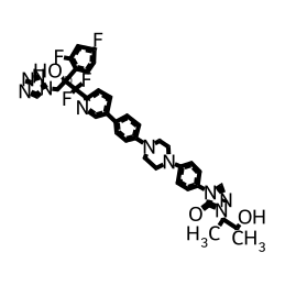 CC(O)C(C)n1ncn(-c2ccc(N3CCN(c4ccc(-c5ccc(C(F)(F)[C@](O)(Cn6cnnn6)c6ccc(F)cc6F)nc5)cc4)CC3)cc2)c1=O